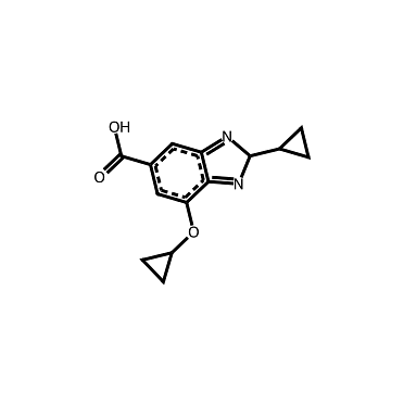 O=C(O)c1cc(OC2CC2)c2c(c1)=NC(C1CC1)N=2